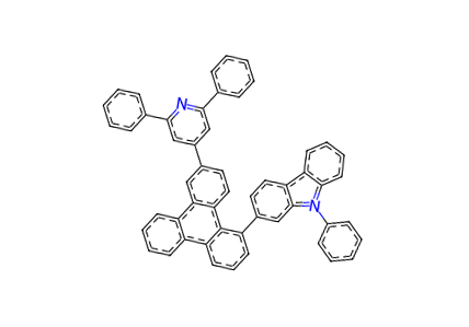 c1ccc(-c2cc(-c3ccc4c(c3)c3ccccc3c3cccc(-c5ccc6c7ccccc7n(-c7ccccc7)c6c5)c34)cc(-c3ccccc3)n2)cc1